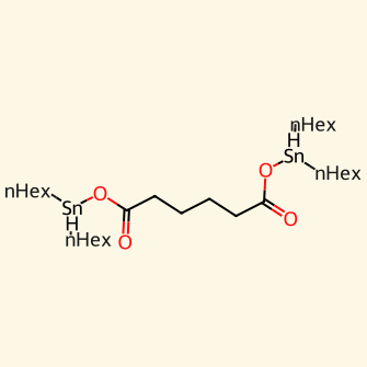 CCCCC[CH2][SnH]([CH2]CCCCC)[O]C(=O)CCCCC(=O)[O][SnH]([CH2]CCCCC)[CH2]CCCCC